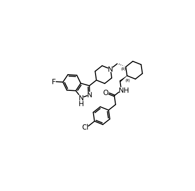 O=C(Cc1ccc(Cl)cc1)NC[C@@H]1CCCC[C@H]1CN1CCC(c2n[nH]c3cc(F)ccc23)CC1